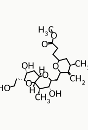 C=C1C(C[C@@H]2O[C@H]3C[C@@H](O)[C@@H](CCO)O[C@H]3[C@H](C)[C@H]2O)OC(CCC(=O)OC)C[C@H]1C